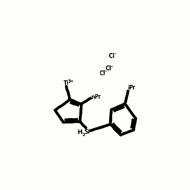 CCCC1=[C]([Ti+3])CC=C1[SiH2]c1cccc(C(C)C)c1.[Cl-].[Cl-].[Cl-]